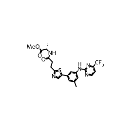 COC(=O)[C@H](C)NC(=O)CCc1ncc(-c2cc(C)cc(Nc3nccc(C(F)(F)F)n3)c2)s1